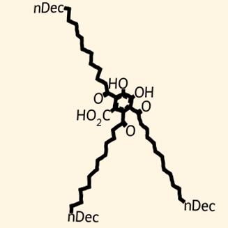 CCCCCCCCCCCCCCCCCCCCCC(=O)c1c(O)c(O)c(C(=O)CCCCCCCCCCCCCCCCCCCCC)c(C(=O)CCCCCCCCCCCCCCCCCCCCC)c1C(=O)O